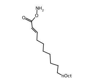 CCCCCCCCCCCCCCCC=CC(=O)ON